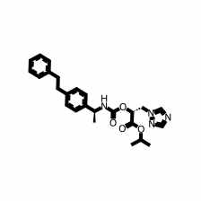 CC(C)OC(=O)[C@@H](Cn1cncn1)OC(=O)N[C@@H](C)c1ccc(CCc2ccccc2)cc1